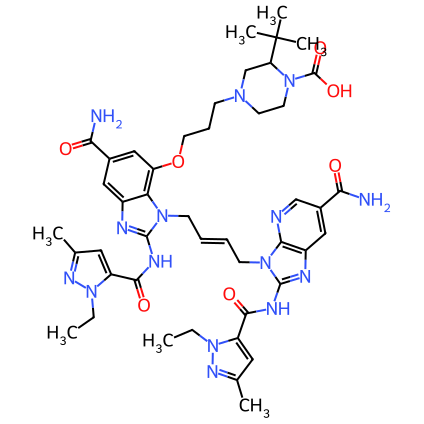 CCn1nc(C)cc1C(=O)Nc1nc2cc(C(N)=O)cnc2n1CC=CCn1c(NC(=O)c2cc(C)nn2CC)nc2cc(C(N)=O)cc(OCCCN3CCN(C(=O)O)C(C(C)(C)C)C3)c21